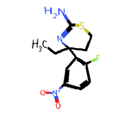 CCC1(c2cc([N+](=O)[O-])ccc2F)CCSC(N)=N1